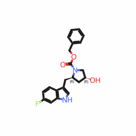 O=C(OCc1ccccc1)N1C[C@H](O)C[C@H]1Cc1c[nH]c2cc(F)ccc12